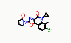 Cc1c(Br)ccc2c3oc(N4CCCC4=O)nc3c(=O)n(C3CC3)c12